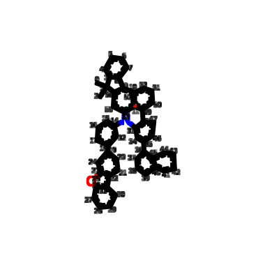 CC1(C)c2ccccc2-c2ccc(N(c3cccc(-c4ccc5c(c4)oc4ccccc45)c3)c3cc(-c4cccc5ccccc45)ccc3-c3ccccc3)cc21